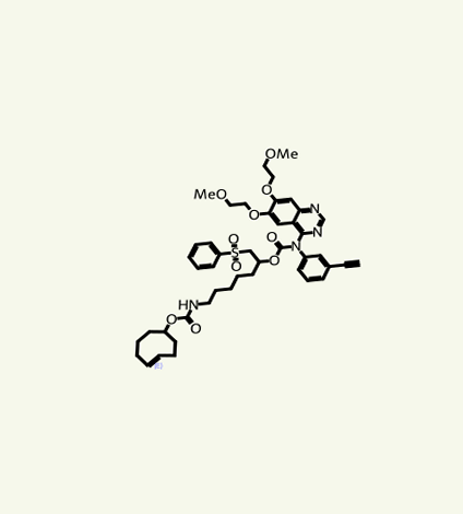 C#Cc1cccc(N(C(=O)OC(CCCCCNC(=O)OC2CC/C=C/CCC2)CS(=O)(=O)c2ccccc2)c2ncnc3cc(OCCOC)c(OCCOC)cc23)c1